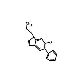 CCCC1C=Cc2cc(-c3ccccc3)c(Br)cc21